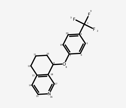 FC(F)(F)c1ccc(OC2CCCc3ccncc32)cc1